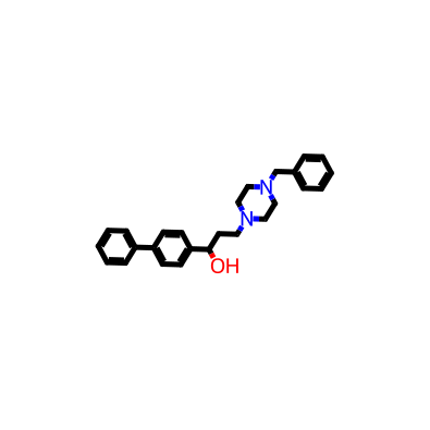 OC(CCN1CCN(Cc2ccccc2)CC1)c1ccc(-c2ccccc2)cc1